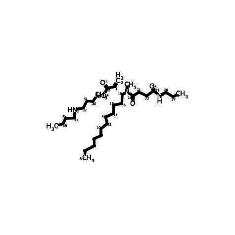 C=CC(=O)O.CCCCCCCCCCCCN(C)C(=O)CCC(=O)NCCC.CCCCNCCCC